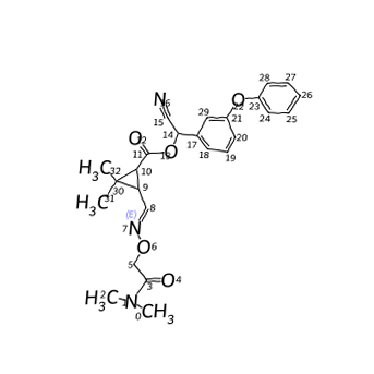 CN(C)C(=O)CO/N=C/C1C(C(=O)OC(C#N)c2cccc(Oc3ccccc3)c2)C1(C)C